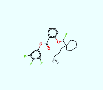 CCCCC1(C(F)Oc2ccccc2C(=O)Oc2cc(F)c(F)c(F)c2)CCCCC1